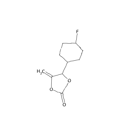 C=C1OC(=O)OC1C1CCC(F)CC1